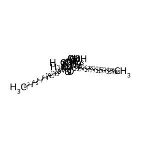 CCCCCCCCCCCCCCCCCC(=O)C(C(=O)CCCCCCCCCCCCCCCCC)(C(CC)OP(=O)([O-])O)[N+](C)(C)C